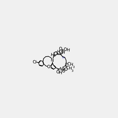 C[C@@H]1[C@@H](C)C/C=C/[C@@](O)(CC(=O)O)[C@@H]2CC[C@H]2CN2CCCCc3cc(Cl)ccc3COc3ccc(cc32)C(=O)NS1(=O)=O